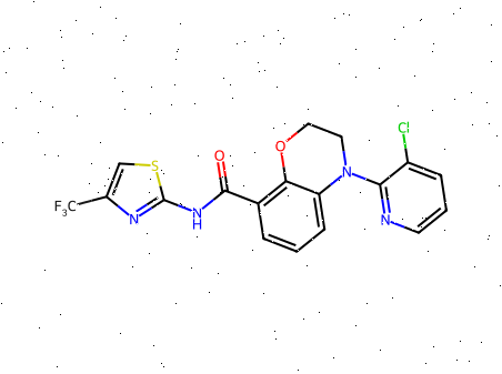 O=C(Nc1nc(C(F)(F)F)cs1)c1cccc2c1OCCN2c1ncccc1Cl